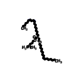 CCCCC/C=C\C/C=C\CCCCCCCCN(CCOCCCCCCCC/C=C\CCCCCC)C(=O)OCCCN(C)C